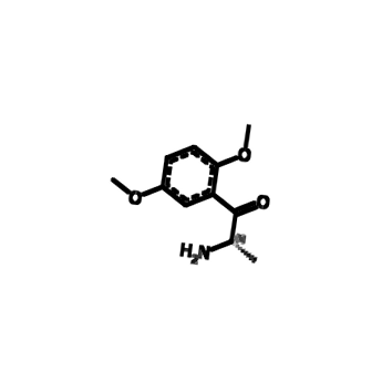 COc1ccc(OC)c(C(=O)[C@H](C)N)c1